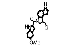 COc1ccc2[nH]c(C(=O)N3CC(CCl)c4c3ccc3[nH]ccc43)cc2c1